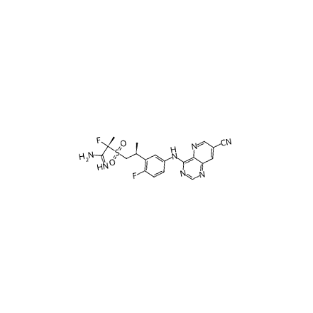 C[C@H](CS(=O)(=O)[C@@](C)(F)C(=N)N)c1cc(Nc2ncnc3cc(C#N)cnc23)ccc1F